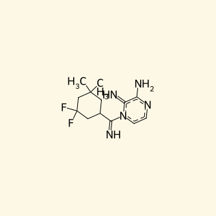 CC1(C)CC(C(=N)n2ccnc(N)c2=N)CC(F)(F)C1